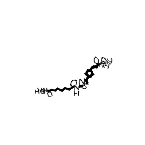 O=C(/C=C/c1ccc(-c2csc(NC(=O)CCCCCCC(=O)NO)n2)cc1)NO